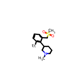 CCc1cccc(CS(C)(=O)=O)c1C1CCCN(C)C1